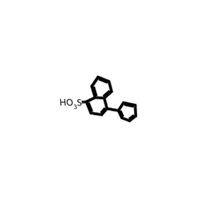 O=S(=O)(O)c1ccc(-c2ccccc2)c2ccccc12